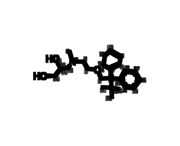 CN(CCOCS(C1=CC=CCC1)(c1ccccc1)C(C)(C)C)C[C@H](O)CO